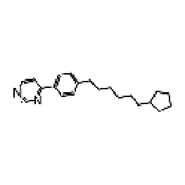 [c]1nccc(-c2ccc(CCCCCCC3CCCC3)cc2)n1